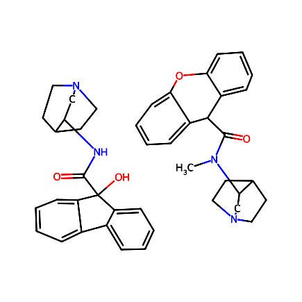 CN(C(=O)C1c2ccccc2Oc2ccccc21)C1CN2CCC1CC2.O=C(NC1CN2CCC1CC2)C1(O)c2ccccc2-c2ccccc21